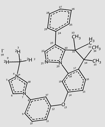 [2H]C([2H])([2H])[n+]1ccn(-c2cccc(Oc3ccc4c(c3)-n3ncc(-c5ccccc5)c3C(C)(C)C4(C)C)c2)c1.[I-]